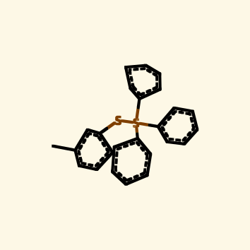 Cc1cccc(SS(c2ccccc2)(c2ccccc2)c2ccccc2)c1